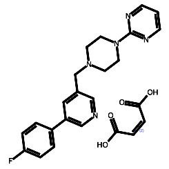 Fc1ccc(-c2cncc(CN3CCN(c4ncccn4)CC3)c2)cc1.O=C(O)/C=C\C(=O)O